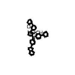 C[SiH]1c2ccc3c4c(oc3c2-c2cccc(N(c3ccc(-c5ccccc5)cc3)c3ccc(-c5ccc6ccccc6c5)cc3)c21)CCC=C4